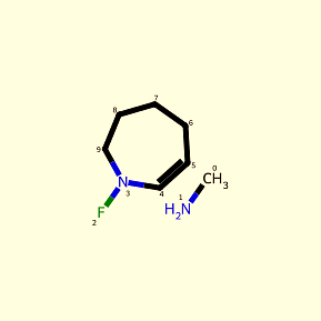 CN.FN1C=CCCCC1